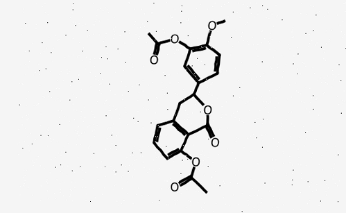 COc1ccc(C2Cc3cccc(OC(C)=O)c3C(=O)O2)cc1OC(C)=O